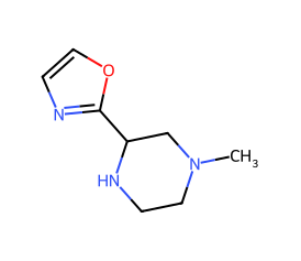 CN1CCNC(c2ncco2)C1